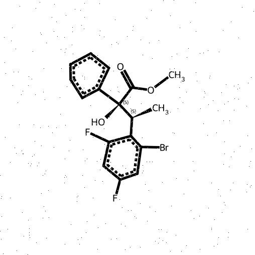 COC(=O)[C@@](O)(c1ccccc1)[C@@H](C)c1c(F)cc(F)cc1Br